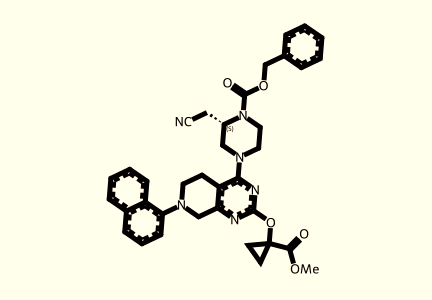 COC(=O)C1(Oc2nc3c(c(N4CCN(C(=O)OCc5ccccc5)[C@@H](CC#N)C4)n2)CCN(c2cccc4ccccc24)C3)CC1